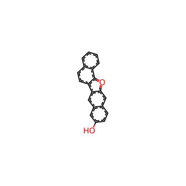 Oc1ccc2cc3oc4c5ccccc5ccc4c3cc2c1